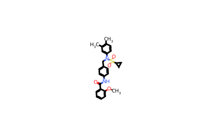 COc1ccccc1C(=O)Nc1ccc(CN(c2ccc(C)c(C)c2)S(=O)(=O)C2CC2)cc1